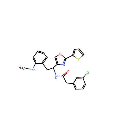 O=C(Cc1cccc(Cl)c1)NC(Cc1ccccc1NS(=O)(=O)O)c1coc(-c2cccs2)n1